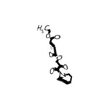 CCOC(=O)/C=C/C(=O)OCC(=O)C(=O)N1CCCCC1